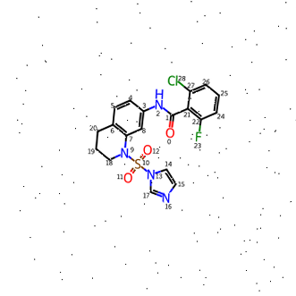 O=C(Nc1ccc2c(c1)N(S(=O)(=O)n1ccnc1)CCC2)c1c(F)cccc1Cl